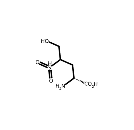 N[C@H](CC(CO)[SH](=O)=O)C(=O)O